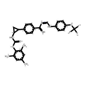 Cc1cc(C)c(OC(=O)NC2CC2c2ccc(C(=N)/N=C\Nc3ccc(OC(F)(F)F)cc3)cc2)c(C)c1